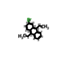 CCc1c2ccccc2c(CC)c2cc(Br)ccc12